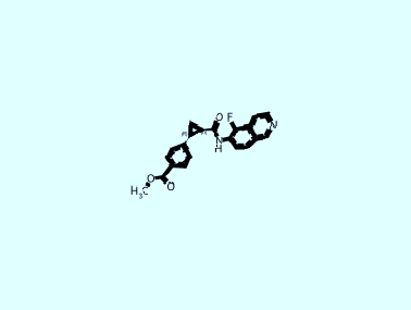 COC(=O)c1ccc([C@@H]2C[C@H]2C(=O)Nc2ccc3cnccc3c2F)cc1